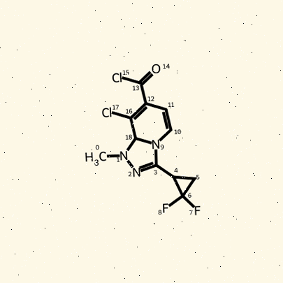 CN1N=C(C2CC2(F)F)N2C=CC(C(=O)Cl)=C(Cl)C12